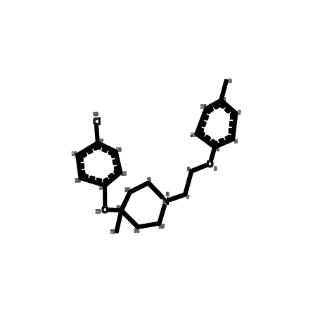 Cc1ccc(OCCN2CCC(C)(Oc3ccc(Cl)cc3)CC2)cc1